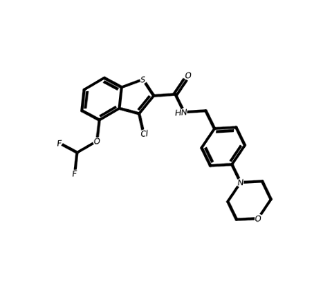 O=C(NCc1ccc(N2CCOCC2)cc1)c1sc2cccc(OC(F)F)c2c1Cl